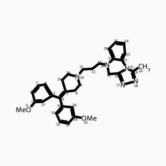 COc1cccc(C(=C2CCN(CCCN3Cc4nnc(C)n4-c4ccccc43)CC2)c2cccc(OC)c2)c1